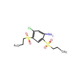 CC(=O)OCCS(=O)(=O)c1cc(S(=O)(=O)CCOC(C)=O)c(Cl)cc1N